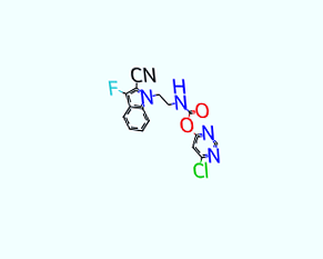 N#Cc1c(F)c2ccccc2n1CCNC(=O)Oc1cc(Cl)ncn1